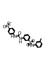 Cc1cccc(NS(=O)(=O)c2cccc(NC(=O)Nc3ccc([N+](=O)[O-])cc3)c2)c1